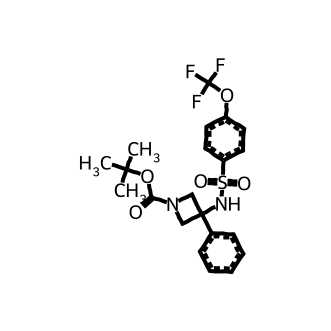 CC(C)(C)OC(=O)N1CC(NS(=O)(=O)c2ccc(OC(F)(F)F)cc2)(c2ccccc2)C1